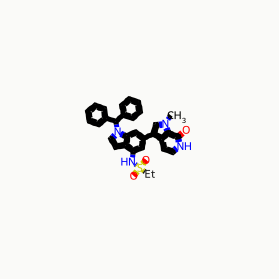 CCS(=O)(=O)Nc1cc(-c2cn(C)c3c(=O)[nH]ccc23)cc2c1ccn2C(c1ccccc1)c1ccccc1